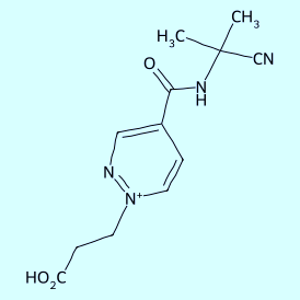 CC(C)(C#N)NC(=O)c1cc[n+](CCC(=O)O)nc1